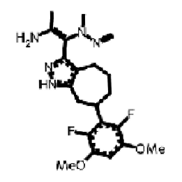 C=NN(C)/C(=C(\C)N)c1n[nH]c2c1CCCC(c1c(F)c(OC)cc(OC)c1F)C2